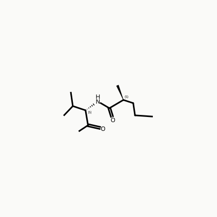 CCC[C@H](C)C(=O)N[C@H](C(C)=O)C(C)C